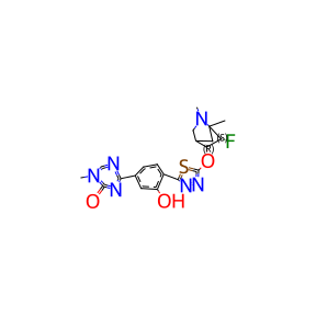 CN1CC2CC1(C)[C@H](F)[C@@H]2Oc1nnc(-c2ccc(-c3ncn(C)c(=O)n3)cc2O)s1